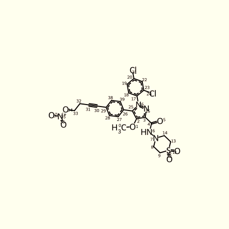 COc1c(C(=O)NN2CCS(=O)(=O)CC2)nn(-c2ccc(Cl)cc2Cl)c1-c1ccc(C#CCCO[N+](=O)[O-])cc1